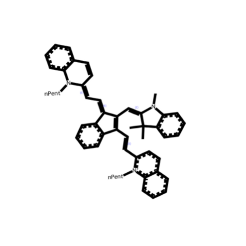 CCCCCN1/C(=C/C=C2C(/C=C3/N(C)c4ccccc4C3(C)C)=C(/C=C/c3ccc4ccccc4[n+]3CCCCC)c3ccccc3/2)C=Cc2ccccc21